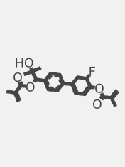 C=C(C)C(=O)OC1=CC=C(c2ccc(C(OC(=O)C(=C)C)C(C)(C)O)cc2)CC1F